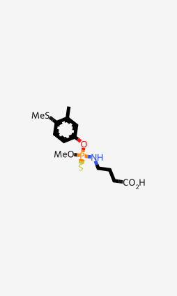 COP(=S)(NCCCC(=O)O)Oc1ccc(SC)c(C)c1